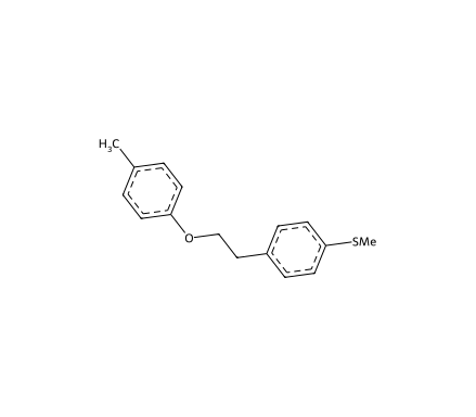 CSc1ccc(CCOc2ccc(C)cc2)cc1